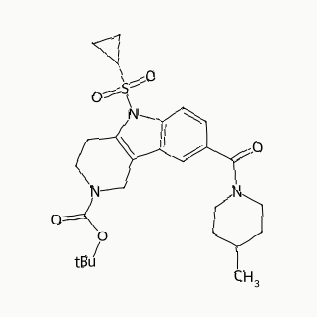 CC1CCN(C(=O)c2ccc3c(c2)c2c(n3S(=O)(=O)C3CC3)CCN(C(=O)OC(C)(C)C)C2)CC1